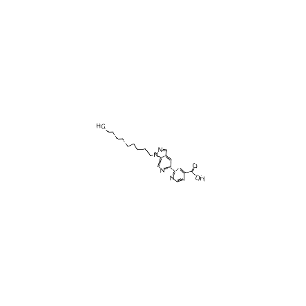 O=C(O)c1ccnc(-c2cc3cnn(CCCCCCCCCO)c3cn2)c1